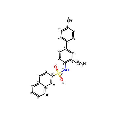 CCCc1ccc(-c2ccc(NS(=O)(=O)c3ccc4ccccc4c3)c(C(=O)O)c2)cc1